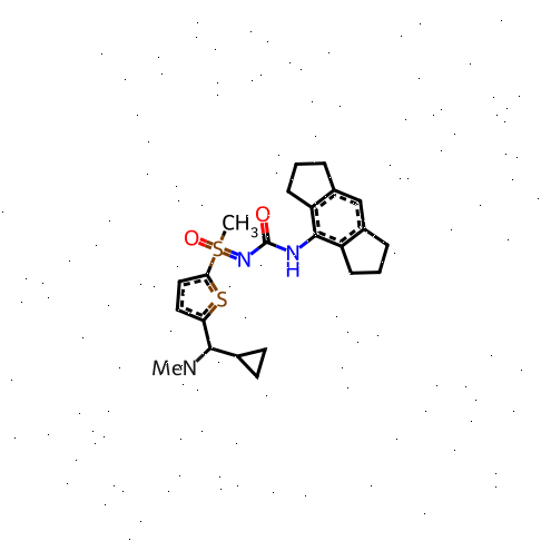 CNC(c1ccc(S(C)(=O)=NC(=O)Nc2c3c(cc4c2CCC4)CCC3)s1)C1CC1